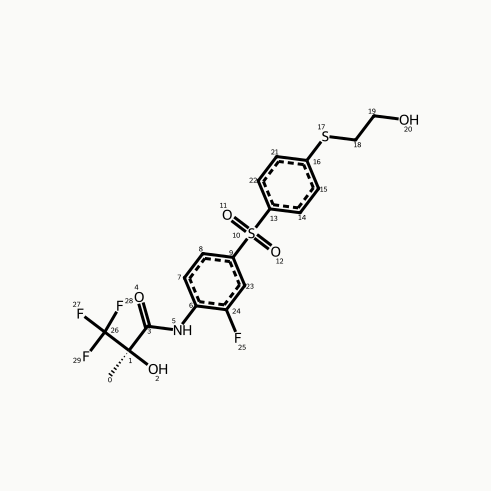 C[C@@](O)(C(=O)Nc1ccc(S(=O)(=O)c2ccc(SCCO)cc2)cc1F)C(F)(F)F